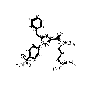 CN(C)CCCN(C)C(=O)c1nc(Cc2ccccc2)n(-c2ccc(S(N)(=O)=O)cc2)n1